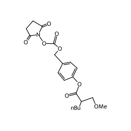 CCCCC(COC)C(=O)Oc1ccc(COC(=O)ON2C(=O)CCC2=O)cc1